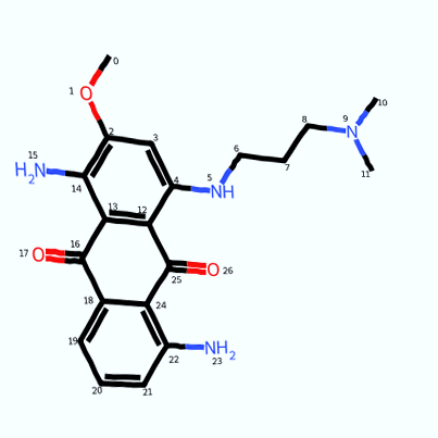 COc1cc(NCCCN(C)C)c2c(c1N)C(=O)c1cccc(N)c1C2=O